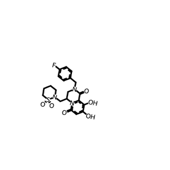 O=C1c2c(O)c(O)cc(=O)n2C(CN2CCCCS2(=O)=O)CN1Cc1ccc(F)cc1